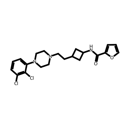 O=C(NC1CC(CCN2CCN(c3cccc(Cl)c3Cl)CC2)C1)c1ccco1